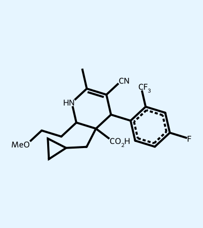 COCCC1NC(C)=C(C#N)C(c2ccc(F)cc2C(F)(F)F)C1(CC1CC1)C(=O)O